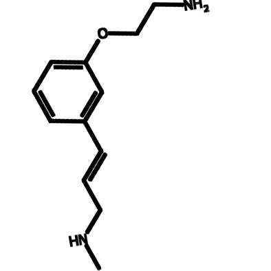 CNC/C=C/c1cccc(OCCN)c1